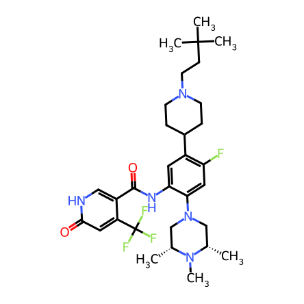 C[C@@H]1CN(c2cc(F)c(C3CCN(CCC(C)(C)C)CC3)cc2NC(=O)c2c[nH]c(=O)cc2C(F)(F)F)C[C@H](C)N1C